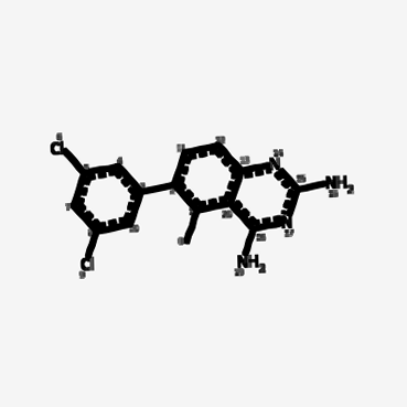 Cc1c(-c2cc(Cl)cc(Cl)c2)ccc2nc(N)nc(N)c12